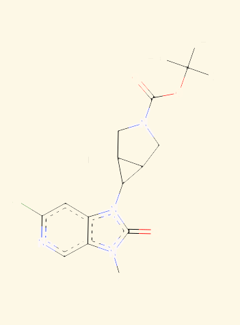 Cn1c(=O)n(C2[C@H]3CN(C(=O)OC(C)(C)C)C[C@@H]23)c2cc(Cl)ncc21